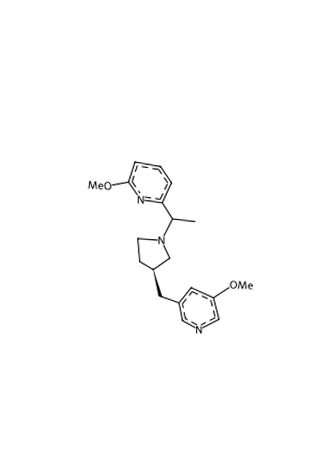 COc1cncc(C[C@H]2CCN(C(C)c3cccc(OC)n3)C2)c1